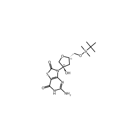 CC(C)(C)[Si](C)(C)OC[C@@H]1C[C@](O)(n2c(=O)sc3c(=O)[nH]c(N)nc32)CO1